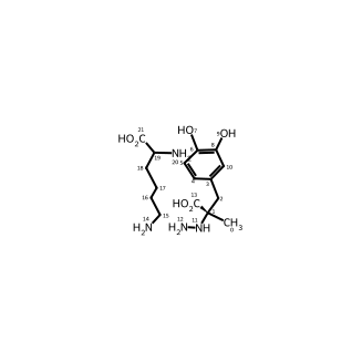 C[C@@](Cc1ccc(O)c(O)c1)(NN)C(=O)O.NCCCCC(N)C(=O)O